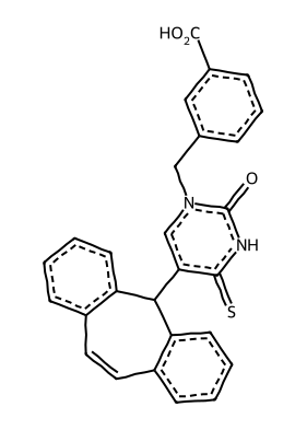 O=C(O)c1cccc(Cn2cc(C3c4ccccc4C=Cc4ccccc43)c(=S)[nH]c2=O)c1